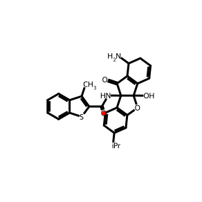 Cc1c(C(=O)NC23C(=O)C4=C(C=CCC4N)C2(O)Oc2cc(C(C)C)ccc23)sc2ccccc12